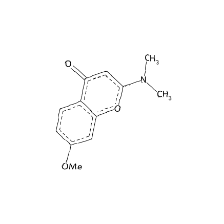 COc1ccc2c(=O)cc(N(C)C)oc2c1